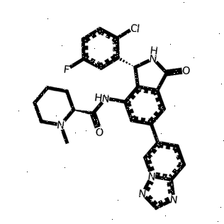 CN1CCCC[C@H]1C(=O)Nc1cc(-c2ccc3ncnn3c2)cc2c1[C@H](c1cc(F)ccc1Cl)NC2=O